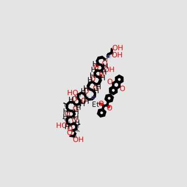 CCOC(C(=O)c1ccccc1)c1ccccc1.C[C@@H]1C[C@@H]2O[C@@H]3[C@@H](C)[C@H](O)[C@@H]4O[C@]5(C[C@H](O)CO5)[C@@H](C)[C@H](C)[C@H]4O[C@H]3C[C@H]2O[C@H]2C[C@H]3O[C@H]4C/C=C\C[C@H]5O[C@H]6C=C[C@H]7O[C@H]8[C@H](O)[C@H]9O[C@@H](/C=C/[C@H](O)CO)C=CC[C@@H]9O[C@@H]8C[C@@H]7O[C@@H]6C=C[C@@H]5O[C@@H]4C[C@@H](O)[C@]3(C)O[C@@H]2C1.O=C1c2ccccc2C(=O)c2ccccc21